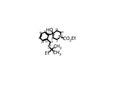 CCOC(=O)N1CCC(O)(c2ccccc2CSC(C)(C)CC)CC1